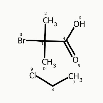 CC(C)(Br)C(=O)O.CCCl